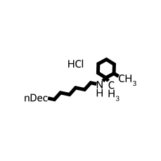 CCCCCCCCCCCCCCCCNC1(C)CCCCC1C.Cl